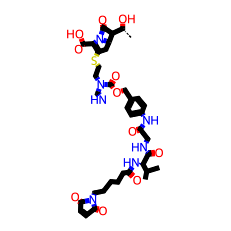 CC(C)[C@H](NC(=O)CCCCCN1C(=O)C=CC1=O)C(=O)NCC(=O)Nc1ccc(COC(=O)N(C=N)CCSC2=C(C(=O)O)N3C(=O)C([C@@H](C)O)C3C2)cc1